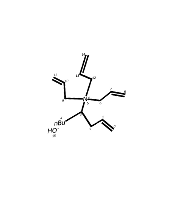 C=CCC(CCCC)[N+](CC=C)(CC=C)CC=C.[OH-]